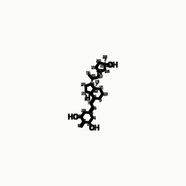 C=C1[C@H](O)C/C(=C/C=C2\CCC[C@]3(C)[C@@H](C(C)CN4CC[C@@](C)(O)C4)CC[C@@H]23)C[C@@H]1O